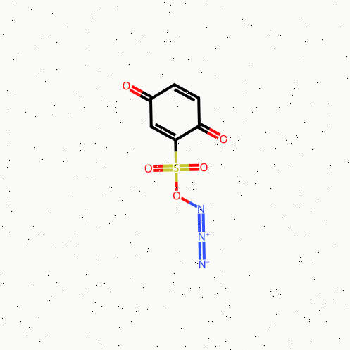 [N-]=[N+]=NOS(=O)(=O)C1=CC(=O)C=CC1=O